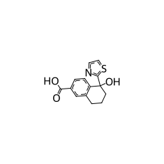 O=C(O)c1ccc2c(c1)CCCC2(O)c1nccs1